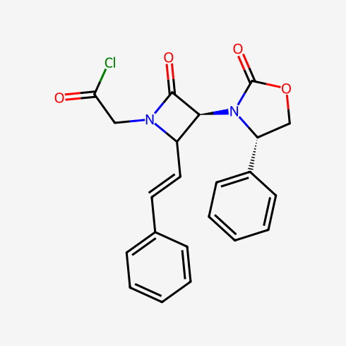 O=C(Cl)CN1C(=O)[C@@H](N2C(=O)OC[C@@H]2c2ccccc2)C1C=Cc1ccccc1